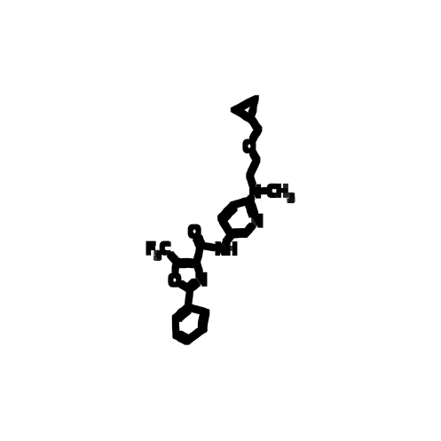 CN(CCOCC1CC1)c1ccc(NC(=O)c2nc(-c3ccccc3)oc2C(F)(F)F)cn1